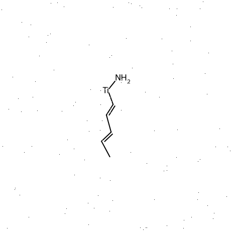 CC=CC=[CH][Ti][NH2]